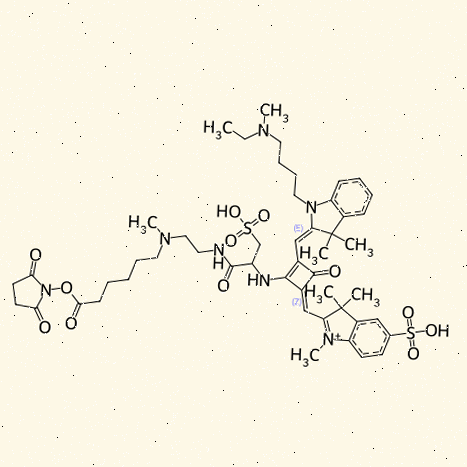 CCN(C)CCCCN1/C(=C/C2=C(NC(CS(=O)(=O)O)C(=O)NCCN(C)CCCCCC(=O)ON3C(=O)CCC3=O)C(=C/C3=[N+](C)c4ccc(S(=O)(=O)O)cc4C3(C)C)/C2=O)C(C)(C)c2ccccc21